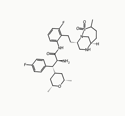 CC1CC[C@@H]2CN([C@@H](CCc3c(F)cccc3NC(=O)[C@@H](N)[C@@H](c3ccc(F)cc3)C3C[C@@H](C)O[C@@H](C)C3)CN2)S1(=O)=O